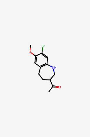 COc1cc2c(cc1Br)NCC(C(C)=O)CC2